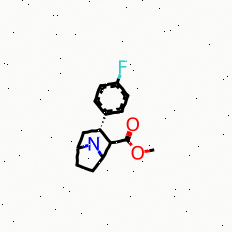 COC(=O)C1C2CCC(C[C@@H]1c1ccc(F)cc1)N2C